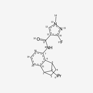 CC(C)C1C2CCC1c1c(NC(=O)c3cn(C)nc3F)cccc12